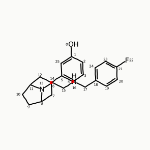 Oc1cccc(C2CC3CCC(C2)N3CCNCc2ccc(F)cc2)c1